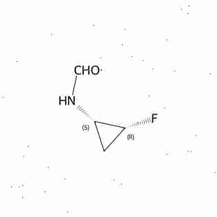 O=[C]N[C@H]1C[C@H]1F